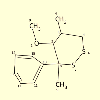 COC1C(C)CSSC1(C)c1ccccc1